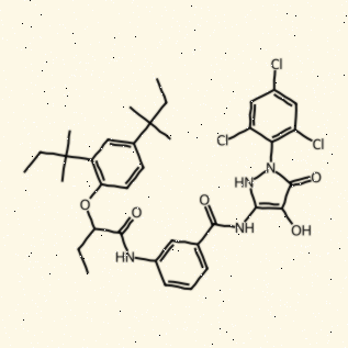 CCC(Oc1ccc(C(C)(C)CC)cc1C(C)(C)CC)C(=O)Nc1cccc(C(=O)Nc2[nH]n(-c3c(Cl)cc(Cl)cc3Cl)c(=O)c2O)c1